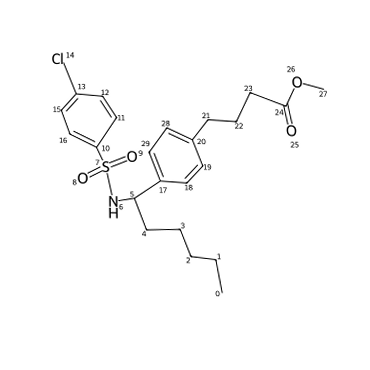 CCCCCC(NS(=O)(=O)c1ccc(Cl)cc1)c1ccc(CCCC(=O)OC)cc1